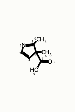 CC1=NC=CC1(C)C(=O)O